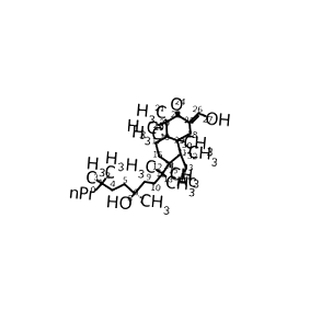 CCCC(C)(C)CC[C@](C)(O)CCC(C)(C)[C@]1(C)CC[C@@]2(C)C(C)(C)C(=O)/C(=C/O)C[C@]2(C)[C@@]1(C)CC(C)=O